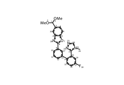 COC(OC)c1ccc2oc(-c3cccc(-c4ccc(F)cc4-c4nncn4C)c3)nc2c1